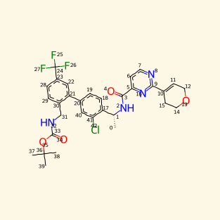 C[C@@H](NC(=O)c1ccnc(C2=CCOCC2)n1)c1ccc(-c2cc(C(F)(F)F)ccc2CNC(=O)OC(C)(C)C)cc1Cl